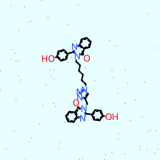 O=c1c2ccccc2nc(-c2ccc(O)cc2)n1CCCCCCn1cc(Cn2c(-c3ccc(O)cc3)nc3ccccc3c2=O)nn1